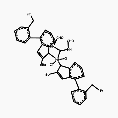 CCCCC1=Cc2c(-c3ccccc3CC(C)C)cccc2[CH]1[Hf]([Cl])([Cl])([B](NC=O)NC=O)[CH]1C(CCCC)=Cc2c(-c3ccccc3CC(C)C)cccc21